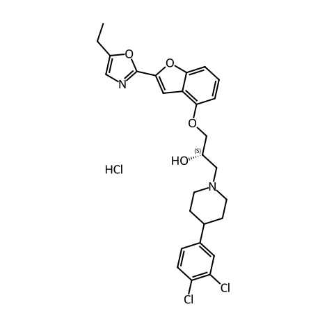 CCc1cnc(-c2cc3c(OC[C@@H](O)CN4CCC(c5ccc(Cl)c(Cl)c5)CC4)cccc3o2)o1.Cl